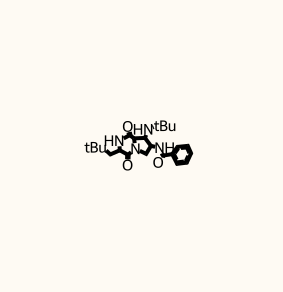 CC(C)(C)CC1NC(=O)C2C(NC(C)(C)C)C(NC(=O)c3ccccc3)CN2C1=O